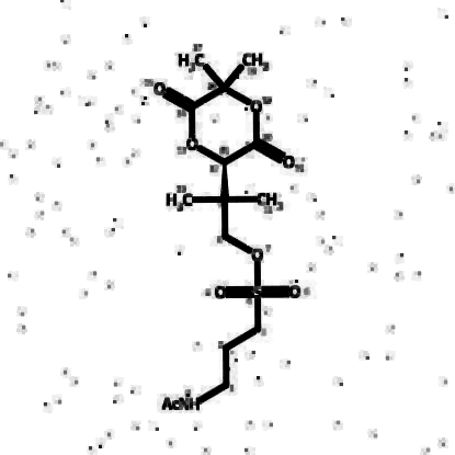 CC(=O)NCCCS(=O)(=O)OCC(C)(C)[C@H]1OC(=O)C(C)(C)OC1=O